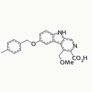 COCc1c(C(=O)O)ncc2[nH]c3ccc(OCc4ccc(C)cc4)cc3c12